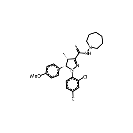 COc1ccc([C@@H]2[C@H](C)C(C(=S)NN3CCCCCC3)=NN2c2ccc(Cl)cc2Cl)cc1